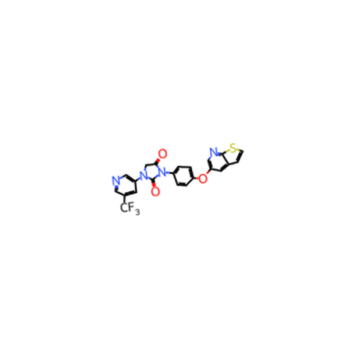 O=C1CN(c2cncc(C(F)(F)F)c2)C(=O)N1c1ccc(Oc2cnc3sccc3c2)cc1